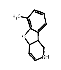 Cc1cccc2c1OC1C=CNCC21